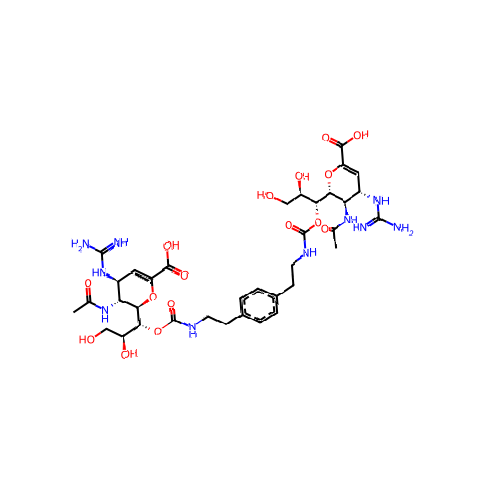 CC(=O)N[C@H]1[C@H]([C@H](OC(=O)NCCc2ccc(CCNC(=O)O[C@@H]([C@@H]3OC(C(=O)O)=C[C@H](NC(=N)N)[C@H]3NC(C)=O)[C@@H](O)CO)cc2)[C@H](O)CO)OC(C(=O)O)=C[C@@H]1NC(=N)N